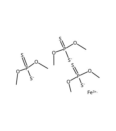 COP(=S)([S-])OC.COP(=S)([S-])OC.COP(=S)([S-])OC.[Fe+3]